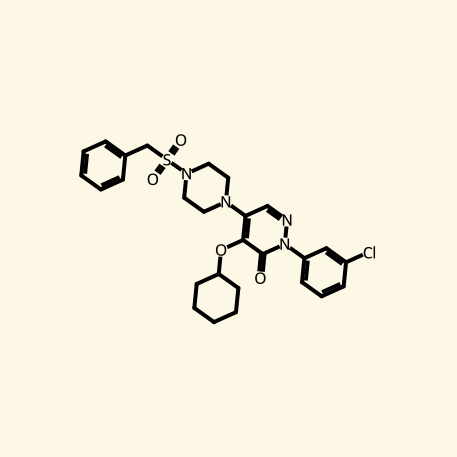 O=c1c(OC2CCCCC2)c(N2CCN(S(=O)(=O)Cc3ccccc3)CC2)cnn1-c1cccc(Cl)c1